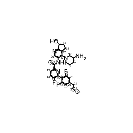 N[C@H]1CCCN(c2c(NC(=O)c3ccc(F)c(-c4c(F)cc(C[S+]=O)cc4F)n3)cnc3c2CC[C@H]3O)C1